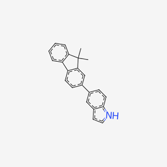 CC1(C)c2ccccc2-c2ccc(-c3ccc4[nH]ccc4c3)cc21